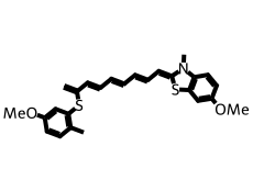 C=C(/C=C/C=C/C=C/C=C1\Sc2cc(OC)ccc2N1C)Sc1cc(OC)ccc1C